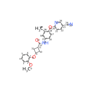 COc1ccccc1OC1CC(C(=O)Nc2ccc(Oc3ccc(C#N)cn3)c(C)c2)C1